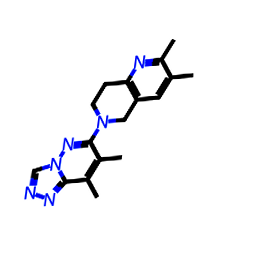 Cc1cc2c(nc1C)CCN(c1nn3cnnc3c(C)c1C)C2